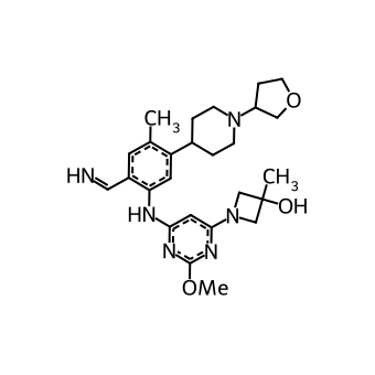 COc1nc(Nc2cc(C3CCN(C4CCOC4)CC3)c(C)cc2C=N)cc(N2CC(C)(O)C2)n1